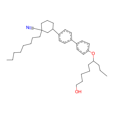 CCCCCCCCC1(C#N)CCCC(c2ccc(-c3ccc(OC(CCC)CCCCCO)cc3)cc2)C1